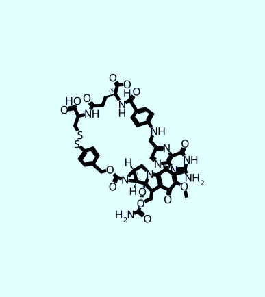 COC1=C(C)C(=O)C2=C(C1=O)C(COC(N)=O)[C@@]1(OC)[C@@H]3[C@H](CN21)N3C(=O)OCc1ccc(SSCC(NC(=O)CC[C@H](NC(=O)c2ccc(NCc3cnc4nc(N)[nH]c(=O)c4n3)cc2)C(=O)O)C(=O)O)cc1